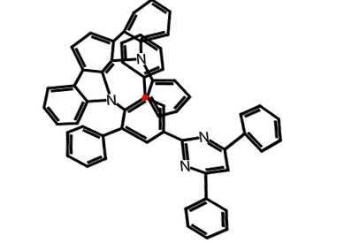 c1ccc(-c2cc(-c3ccccc3)nc(-c3cc(-c4ccccc4)c(-n4c5ccccc5c5ccc6c7ccccc7n(-c7ccccc7)c6c54)c(-c4ccccc4)c3)n2)cc1